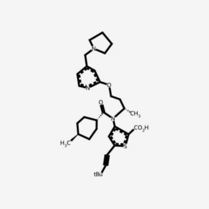 C[C@@H](CCOc1cc(CN2CCCC2)ccn1)N(c1cc(C#CC(C)(C)C)sc1C(=O)O)C(=O)[C@H]1CC[C@H](C)CC1